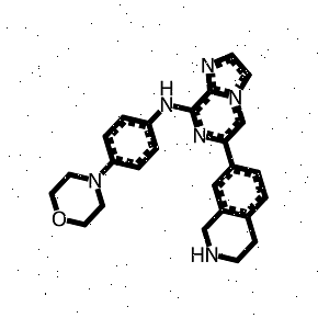 c1cn2cc(-c3ccc4c(c3)CNCC4)nc(Nc3ccc(N4CCOCC4)cc3)c2n1